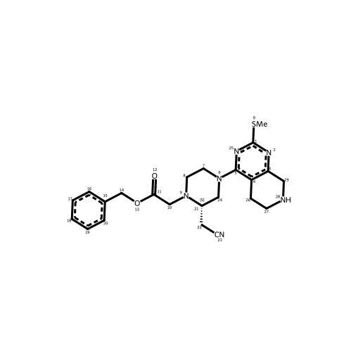 CSc1nc2c(c(N3CCN(CC(=O)OCc4ccccc4)[C@@H](CC#N)C3)n1)CCNC2